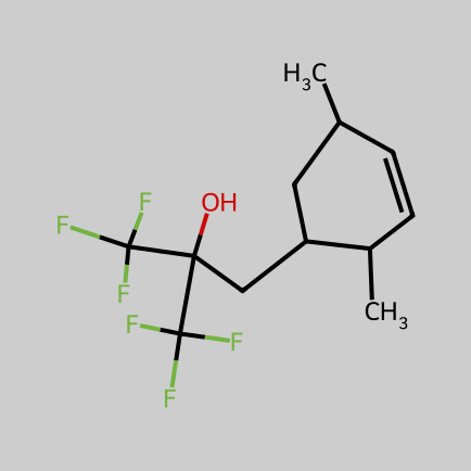 CC1C=CC(C)C(CC(O)(C(F)(F)F)C(F)(F)F)C1